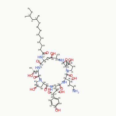 CCC(C)CC(C)CCCCCCCCC(=O)NC1C[C@@H](O)C(C)NC(=O)[C@@H]2[C@@H](O)CCN2C(=O)C([C@H](O)CCN)NC(=O)[C@H]([C@H](O)[C@@H](O)c2ccc(O)cc2)NC(=O)C2C[C@@H](O)CN2C(=O)C([C@@H](C)O)NC1=O